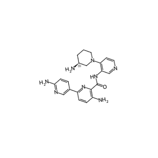 Nc1ccc(-c2ccc(N)c(C(=O)Nc3cnccc3N3CCC[C@H](N)C3)n2)cn1